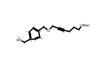 CCCCCCCCCCCCC#CCOCc1ccc(CO)cc1